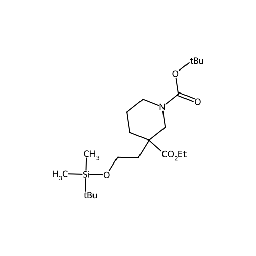 CCOC(=O)C1(CCO[Si](C)(C)C(C)(C)C)CCCN(C(=O)OC(C)(C)C)C1